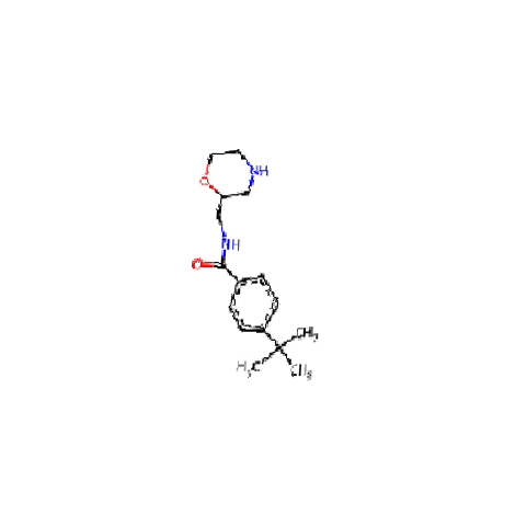 CC(C)(C)c1ccc(C(=O)NCC2CNCCO2)cc1